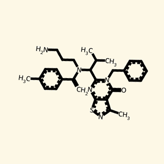 C=C(c1ccc(C)cc1)N(CCCN)C(c1nc2snc(C)c2c(=O)n1Cc1ccccc1)C(C)C